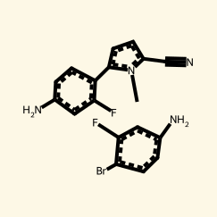 Cn1c(C#N)ccc1-c1ccc(N)cc1F.Nc1ccc(Br)c(F)c1